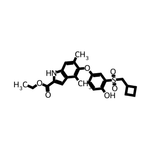 CCOC(=O)c1cc2c(C)c(Oc3ccc(O)c(S(=O)(=O)CC4CCC4)c3)c(C)cc2[nH]1